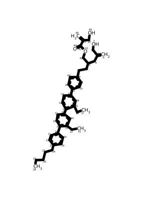 C=C(CO)CC(CCc1ccc(-c2ccc(-c3ccc(-c4ccc(CCCCC)cc4)c(CC)c3)c(CC)c2)cc1)COC(=O)C(=C)CO